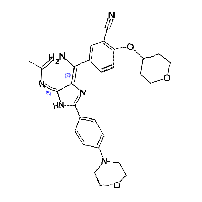 C=C(C)/N=C1/NC(c2ccc(N3CCOCC3)cc2)=N/C1=C(/N)c1ccc(OC2CCOCC2)c(C#N)c1